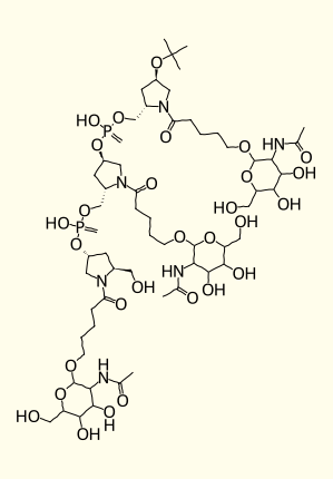 C=P(O)(OC[C@@H]1C[C@@H](OP(=C)(O)OC[C@@H]2C[C@@H](OC(C)(C)C)CN2C(=O)CCCCOC2OC(CO)C(O)C(O)C2NC(C)=O)CN1C(=O)CCCCOC1OC(CO)C(O)C(O)C1NC(C)=O)O[C@@H]1C[C@@H](CO)N(C(=O)CCCCOC2OC(CO)C(O)C(O)C2NC(C)=O)C1